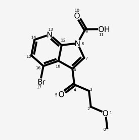 COCCC(=O)c1cn(C(=O)O)c2nccc(Br)c12